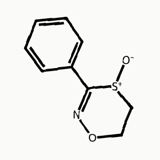 [O-][S+]1CCON=C1c1ccccc1